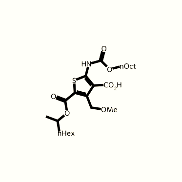 CCCCCCCCOC(=O)Nc1sc(C(=O)OC(C)CCCCCC)c(COC)c1C(=O)O